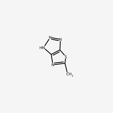 Cc1nc2[nH]nnc2s1